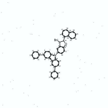 BrC1c2cc(-n3c4ccc(-c5ccccc5)cc4c4cc(-c5ccccc5)ccc43)ccc2OC1c1cccc2ccccc12